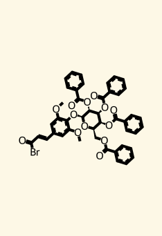 COc1cc(/C=C/C(=O)Br)cc(OC)c1O[C@@H]1O[C@H](COC(=O)c2ccccc2)[C@H](OC(=O)c2ccccc2)[C@H](OC(=O)c2ccccc2)[C@H]1OC(=O)c1ccccc1